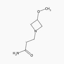 COC1CN(C[CH]C(N)=O)C1